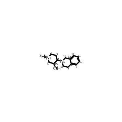 [2H]N1CCC(N2CCc3ccccc3C2)C(O)C1